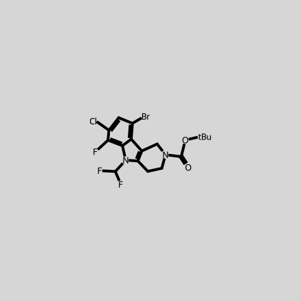 CC(C)(C)OC(=O)N1CCc2c(c3c(Br)cc(Cl)c(F)c3n2C(F)F)C1